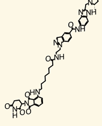 C[C@H]1CCCN1Cc1nc2cc(NC(=O)c3ccc4c(cnn4CCNC(=O)CCCCCCCNc4cccc5c4C(=O)N(C4CCC(=O)NC4=O)C5=O)c3)ccc2[nH]1